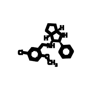 COc1ccc(Cl)cc1CN[C@@H]1[C@H]2CCC[C@H]2N[C@@H]1c1ccccc1